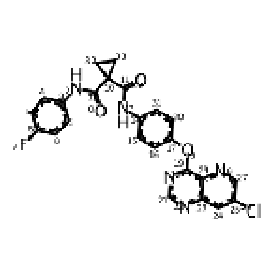 O=C(Nc1ccc(F)cc1)C1(C(=O)Nc2ccc(Oc3ncnc4cc(Cl)cnc34)cc2)CC1